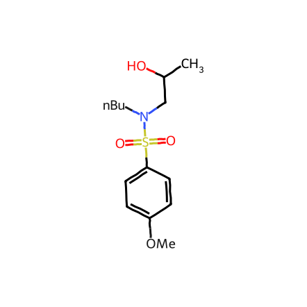 CCCCN(CC(C)O)S(=O)(=O)c1ccc(OC)cc1